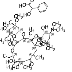 CC[C@H]1OC(=O)[C@H](C)[C@@H](O[C@H]2C[C@@](C)(OC)[C@@H](O)[C@H](C)O2)[C@H](C)[C@@H](O[C@@H]2O[C@H](C)C[C@H](N(C)C)[C@H]2O)[C@](C)(OC)C[C@@H](C)C(=O)[C@H](C)[C@@H](O)[C@]1(C)O.O=C(O)C(O)c1ccccc1